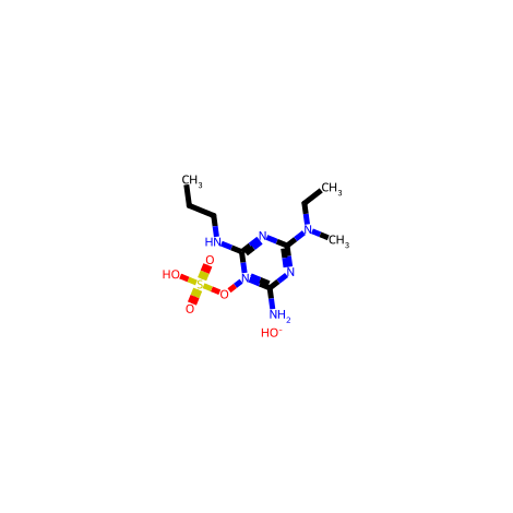 CCCNc1nc(N(C)CC)nc(N)[n+]1OS(=O)(=O)O.[OH-]